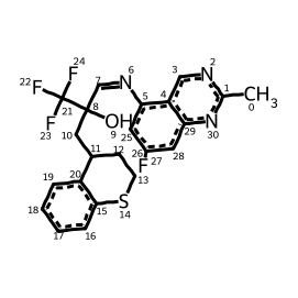 Cc1ncc2c(/N=C\C(O)(CC3CCSc4ccccc43)C(F)(F)F)cc(F)cc2n1